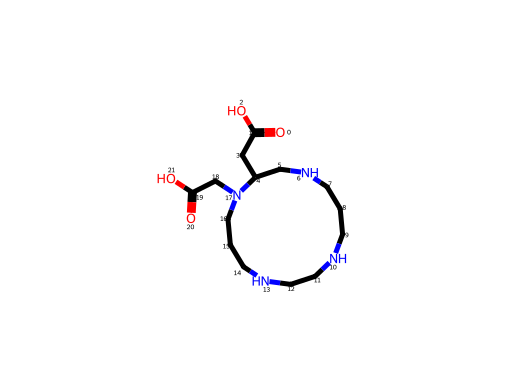 O=C(O)CC1CNCCCNCCNCCCN1CC(=O)O